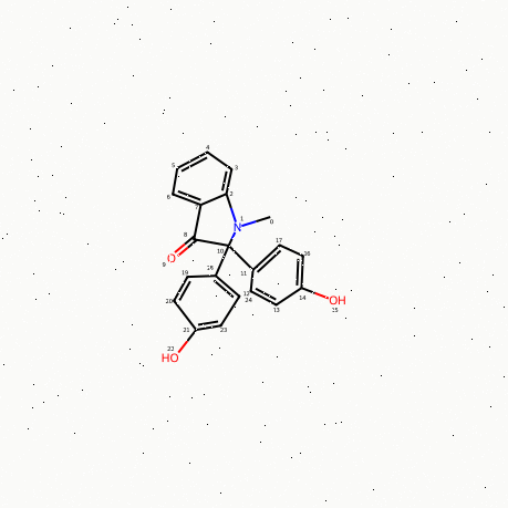 CN1c2ccccc2C(=O)C1(c1ccc(O)cc1)c1ccc(O)cc1